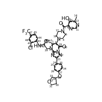 CCc1c(N2CCN(C(=O)c3ncnc(C)c3O)CC2)c(=O)n2nc(-c3ccc(OC4CCOC4)cc3)nc2n1CC(=O)Nc1ccc(C(F)(F)F)cc1Cl